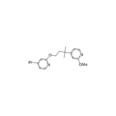 COc1cc(C(C)(C)CCOc2cc(C(C)C)ccn2)ccn1